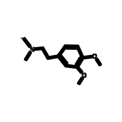 [CH2]N(C)CCc1ccc(OC)c(OC)c1